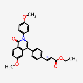 CCOC(=O)/C=C/c1ccc(-c2cn(-c3ccc(OC)cc3)c(=O)c3ccc(OC)cc23)cc1